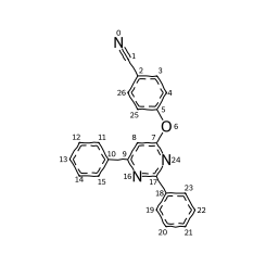 N#Cc1ccc(Oc2cc(-c3ccccc3)nc(-c3ccccc3)n2)cc1